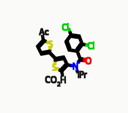 CC(=O)c1ccc(-c2cc(N(C(=O)c3ccc(Cl)cc3Cl)C(C)C)c(C(=O)O)s2)s1